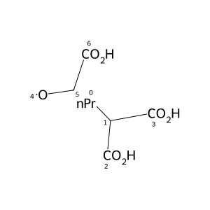 CCCC(C(=O)O)C(=O)O.[O]CC(=O)O